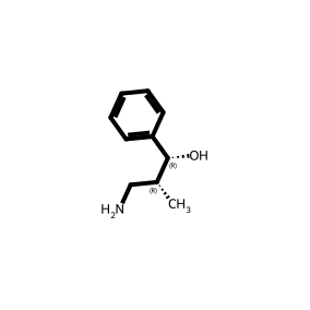 C[C@H](CN)[C@@H](O)c1ccccc1